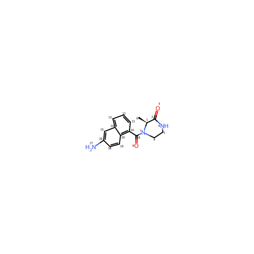 C[C@H]1C(=O)NCCN1C(=O)c1cccc2cc(N)ccc12